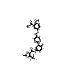 Cc1nc(C(F)(F)F)c(C(=O)Nc2ccc(C)c(-c3ncc(COc4ccc(O)c(C(=O)O)c4)cn3)c2)s1